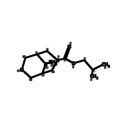 CC(C)COC(=O)N1CC2COCC(C1)N2N